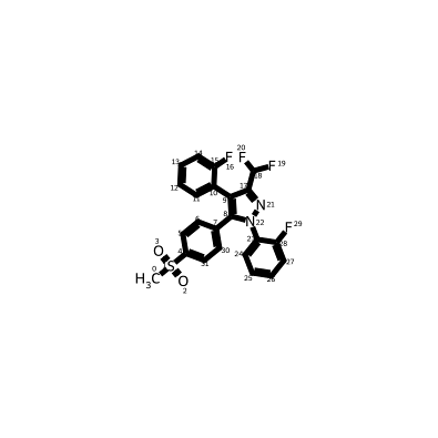 CS(=O)(=O)c1ccc(-c2c(-c3ccccc3F)c(C(F)F)nn2-c2ccccc2F)cc1